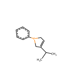 CC(C)C1=CCP(c2ccccc2)C1